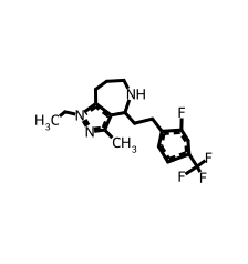 CCn1nc(C)c2c1CCCNC2CCc1ccc(C(F)(F)F)cc1F